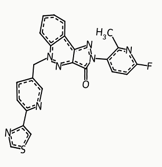 Cc1nc(F)ccc1-n1nc2c3ccccc3n(Cc3ccc(-c4cscn4)nc3)nc-2c1=O